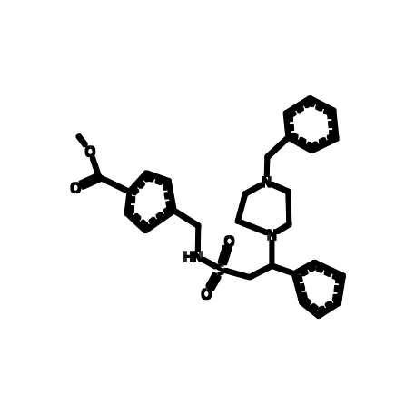 COC(=O)c1ccc(CNS(=O)(=O)CC(c2ccccc2)N2CCN(Cc3ccccc3)CC2)cc1